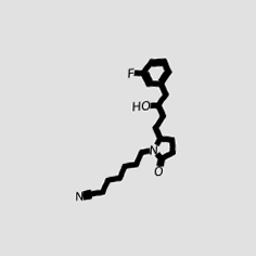 N#CCCCCCCN1C(=O)CCC1CCC(O)Cc1cccc(F)c1